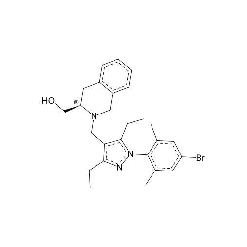 CCc1nn(-c2c(C)cc(Br)cc2C)c(CC)c1CN1Cc2ccccc2C[C@@H]1CO